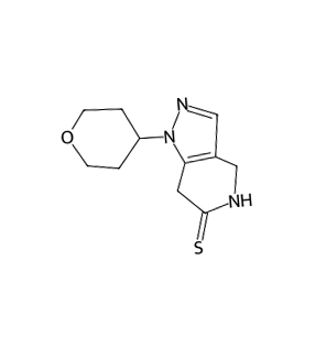 S=C1Cc2c(cnn2C2CCOCC2)CN1